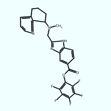 CN(Cc1nc2cc(C(=O)Oc3c(F)c(F)c(F)c(F)c3F)ccc2[nH]1)C1CCCc2cccnc21